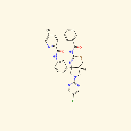 N#Cc1ccc(C(=O)Nc2cccc(C34CN(c5ncc(F)cn5)C[C@H]3CSC(NC(=O)c3ccccc3)=N4)c2)nc1